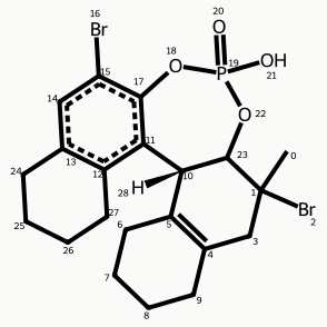 CC1(Br)CC2=C(CCCC2)[C@@H]2c3c4c(cc(Br)c3OP(=O)(O)OC21)CCCC4